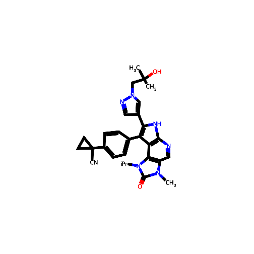 CC(C)n1c(=O)n(C)c2cnc3[nH]c(-c4cnn(CC(C)(C)O)c4)c(-c4ccc(C5(C#N)CC5)cc4)c3c21